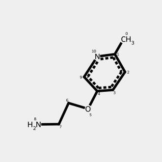 Cc1ccc(OCCN)cn1